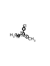 CC1CCN(c2cc(-c3ccc(Cl)cc3)nc(-c3cnn(C)c3)n2)CC1